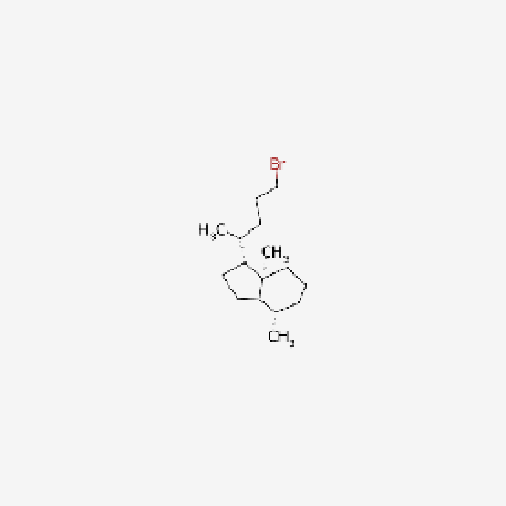 CC(CCCBr)[C@H]1CCC2[C@@H](C)CCC[C@@]21C